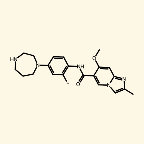 COc1cc2nc(C)cn2cc1C(=O)Nc1ccc(N2CCCNCC2)cc1F